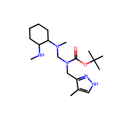 CNC1CCCCC1N(C)CN(Cc1n[nH]cc1C)C(=O)OC(C)(C)C